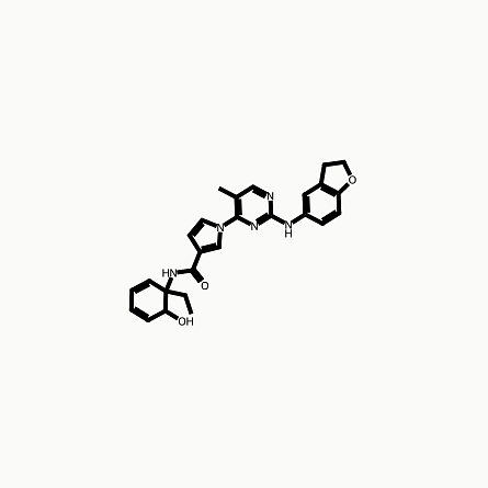 CCC1(NC(=O)c2ccn(-c3nc(Nc4ccc5c(c4)CCO5)ncc3C)c2)C=CC=CC1O